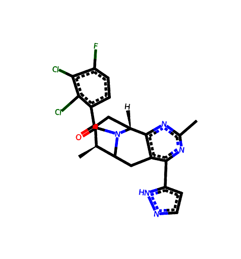 Cc1nc(-c2ccn[nH]2)c2c(n1)[C@H]1CC[C@H](C)C(C2)N1C(=O)c1ccc(F)c(Cl)c1Cl